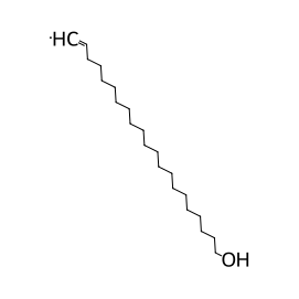 [CH]=CCCCCCCCCCCCCCCCCCCCO